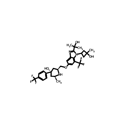 C[C@H]1C[C@@](O)(c2ccc(C(F)(F)F)cc2)C[C@@H](COc2cc(C(F)(F)F)c3c(c2)nc(C(C)(C)O)n3C2CC(C)(O)C2)N1